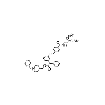 CCCOC(CCNC(=O)c1ccc(COc2cccc(C(C(=O)OCC3CCN(Cc4ccccc4)CC3)c3ccccc3)c2)cc1)OC